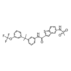 CC(C)(c1cccc(NC(=O)c2cc3cc(NS(C)(=O)=O)ccc3s2)c1)c1cccc(OC(F)(F)F)c1